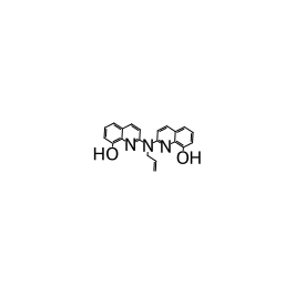 C=CCN(c1ccc2cccc(O)c2n1)c1ccc2cccc(O)c2n1